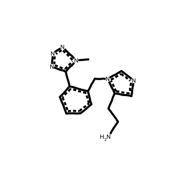 Cn1nnnc1-c1ccccc1Cn1cncc1CCN